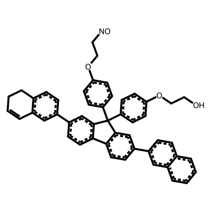 O=NCCOc1ccc(C2(c3ccc(OCCO)cc3)c3cc(-c4ccc5c(c4)C=CCC5)ccc3-c3ccc(-c4ccc5ccccc5c4)cc32)cc1